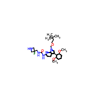 COc1cccc(OC)c1-c1cn(COCC[Si](C)(C)C)c2nc(NC(=O)NCC3(F)CNC3)ccc12